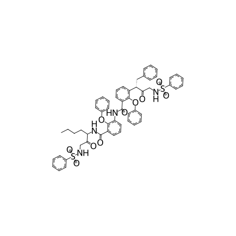 CCCCC(NC(=O)c1cccc(NC(=O)c2cccc([C@H](Cc3ccccc3)C(=O)CNS(=O)(=O)c3ccccc3)c2Oc2ccccc2)c1Oc1ccccc1)C(=O)CNS(=O)(=O)c1ccccc1